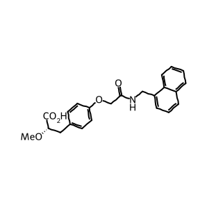 CO[C@@H](Cc1ccc(OCC(=O)NCc2cccc3ccccc23)cc1)C(=O)O